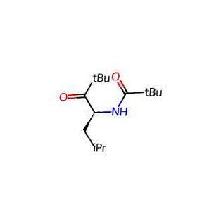 CC(C)C[C@H](NC(=O)C(C)(C)C)C(=O)C(C)(C)C